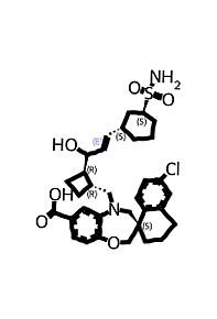 NS(=O)(=O)[C@H]1CCC[C@H](/C=C/C(O)[C@@H]2CC[C@H]2CN2C[C@@]3(CCCc4cc(Cl)ccc43)COc3ccc(C(=O)O)cc32)C1